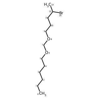 CCCCCCOCOCCCC(C)Br